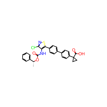 C[C@@H](OC(=O)Nc1c(Cl)nsc1-c1ccc(-c2ccc(C3(C(=O)O)CC3)cc2)cc1)c1ccccc1